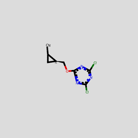 N#CC1C[C@@H]1COc1nc(Cl)nc(Cl)n1